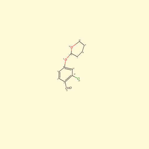 O=Cc1[c]cc(OC2CCCCO2)cc1Cl